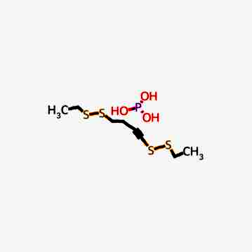 CCSSC#CCCSSCC.OP(O)O